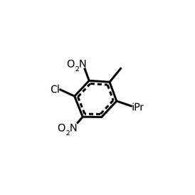 Cc1c(C(C)C)cc([N+](=O)[O-])c(Cl)c1[N+](=O)[O-]